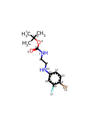 CC(C)(C)OC(=O)NCCNc1ccc(Br)c(F)c1